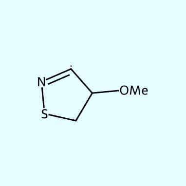 COC1[C]=NSC1